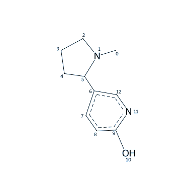 CN1CCCC1c1ccc(O)nc1